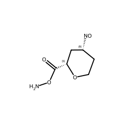 NOC(=O)[C@@H]1C[C@H](N=O)CCO1